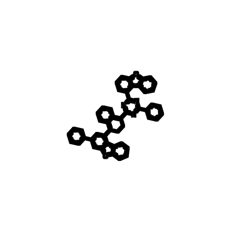 c1ccc(-c2cc(C3=c4ccccc4=C(c4nc(-c5ccccc5)nc(-c5cccc6oc7ccccc7c56)n4)CC3)c3c(c2)oc2ccccc23)cc1